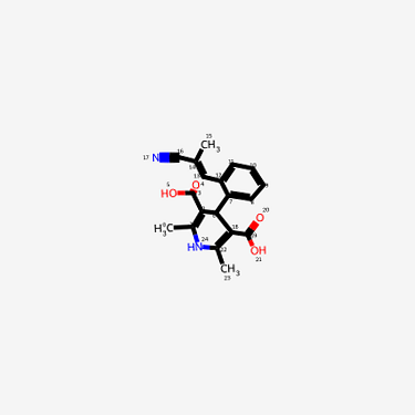 CC1=C(C(=O)O)C(c2ccccc2/C=C(\C)C#N)C(C(=O)O)=C(C)N1